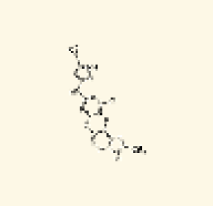 Cc1cc2c(F)c(Oc3nc(Cl)cc(Nc4cc(C5CC5)[nH]n4)n3)ccc2[nH]1